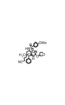 COc1ccc(S(=O)(=O)NC(CC(C)(C)CCCC#N)[C@H](O)[C@H](Cc2ccccc2)NC(=O)O[C@H]2CCOC2)cc1